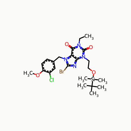 CCn1c(=O)c2c(nc(Br)n2Cc2ccc(OC)c(Cl)c2)n(CCO[Si](C)(C)C(C)(C)C)c1=O